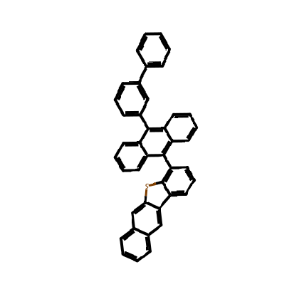 c1ccc(-c2cccc(-c3c4ccccc4c(-c4cccc5c4sc4cc6ccccc6cc45)c4ccccc34)c2)cc1